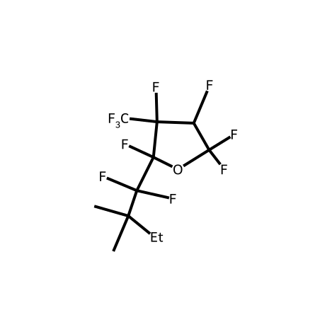 CCC(C)(C)C(F)(F)C1(F)OC(F)(F)C(F)C1(F)C(F)(F)F